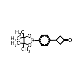 CC1(C)OB(c2ccc(C3CC(=O)C3)cc2)OC1(C)C